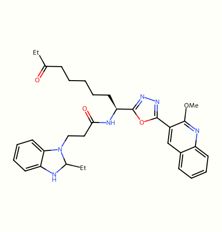 CCC(=O)CCCCC[C@H](NC(=O)CCN1c2ccccc2NC1CC)c1nnc(-c2cc3ccccc3nc2OC)o1